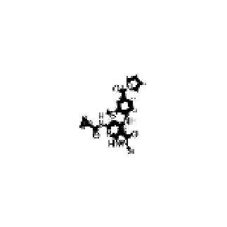 CSc1cc(C(=O)N2CCCC2)ccc1Nc1cc(NC(=O)C2CC2)nc2[nH]n(C)c(=O)c12